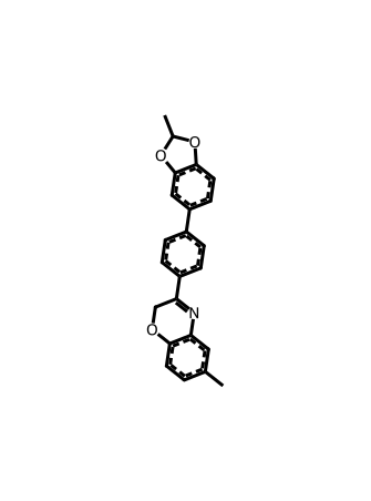 Cc1ccc2c(c1)N=C(c1ccc(-c3ccc4c(c3)OC(C)O4)cc1)CO2